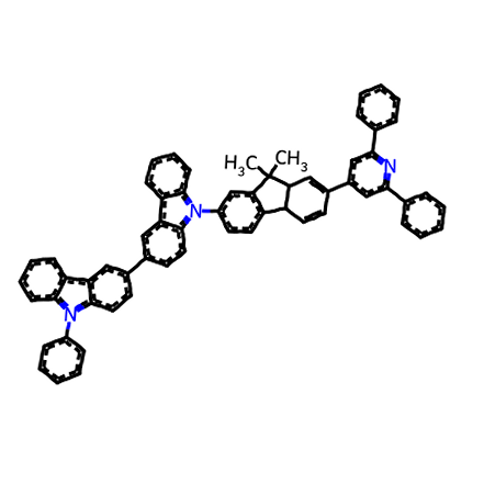 CC1(C)c2cc(-n3c4ccccc4c4cc(-c5ccc6c(c5)c5ccccc5n6-c5ccccc5)ccc43)ccc2C2C=CC(c3cc(-c4ccccc4)nc(-c4ccccc4)c3)=CC21